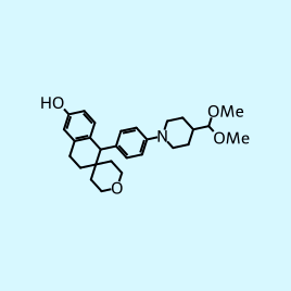 COC(OC)C1CCN(c2ccc(C3c4ccc(O)cc4CCC34CCOCC4)cc2)CC1